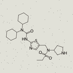 CCS(=O)(=O)N(Cc1cnc(NC(=O)N(C2CCCCC2)C2CCCCC2)s1)C1CCNC1